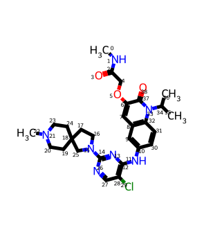 CNC(=O)COc1cc2cc(Nc3nc(N4CCC5(CCN(C)CC5)C4)ncc3Cl)ccc2n(C(C)C)c1=O